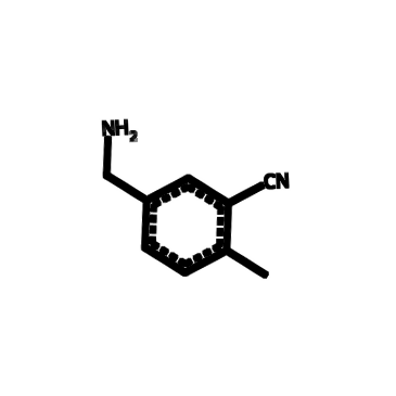 Cc1ccc(CN)cc1C#N